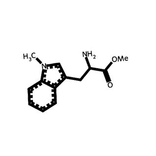 COC(=O)C(N)Cc1cn(C)c2ccccc12